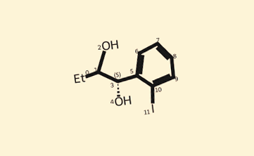 CCC(O)[C@@H](O)c1ccccc1I